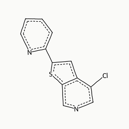 Clc1cncc2sc(-c3ccccn3)cc12